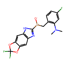 CN(C)c1cc(F)ccc1C[S+]([O-])c1nc2cc3c(cc2[nH]1)OC(F)(F)O3